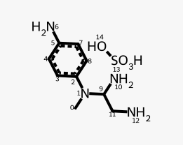 CN(c1ccc(N)cc1)C(N)CN.O=S(=O)(O)O